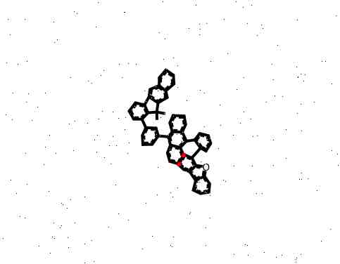 CC1(C)c2cc3ccccc3cc2-c2cccc(-c3cccc(-c4c5ccccc5c(-c5ccccc5-c5cccc6c5oc5ccccc56)c5ccccc45)c3)c21